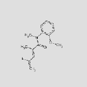 C=C(I)/C=C(\C)C(=O)N(C)c1ccccc1OC